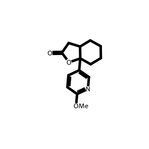 COc1ccc(C23CCCCC2CC(=O)O3)cn1